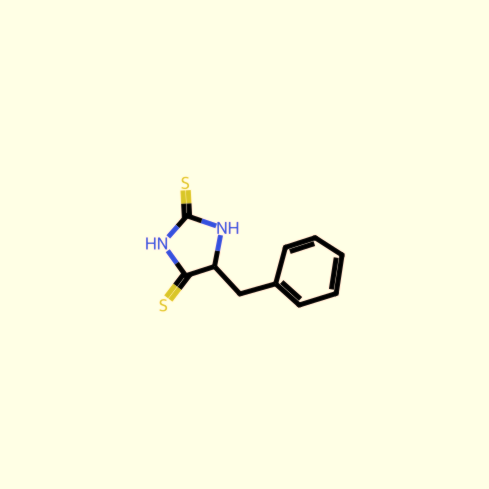 S=C1NC(=S)C(Cc2ccccc2)N1